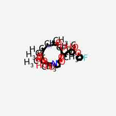 CCC1/C=C(\C)CC(C)CC(OC)C2OC(O)(C(=O)C(=O)N3CCCCC3C(=O)OC(C(C)=CC3CCC(Oc4cccc(F)c4)C(OC)C3)C(C)C(O)CC1=O)C(C)CC2OC